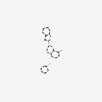 Cc1c(-c2ccc3c(OCc4ccccc4)ccc(C(C)C)c3n2)oc2ccccc12